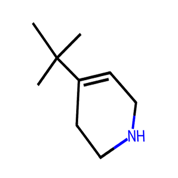 CC(C)(C)C1=CCNCC1